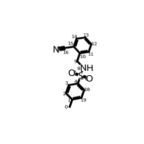 Cc1ccc(S(=O)(=O)NCc2ccccc2C#N)cc1